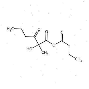 CCCC(=O)OC(=O)C(C)(O)C(=O)CCC